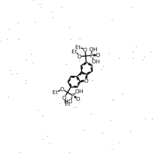 CCOC(OCC)(c1ccc2c(c1)oc1ccc(C(OCC)(OCC)P(=O)(O)O)cc12)P(=O)(O)O